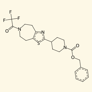 O=C(OCc1ccccc1)N1CCC(c2nc3c(s2)CCN(C(=O)C(F)(F)F)CC3)CC1